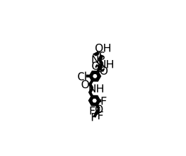 O=C(NCc1ccc(OC(F)(F)F)c(F)c1)c1ccc(S(=O)(=O)Nc2ncc(O)s2)cc1Cl